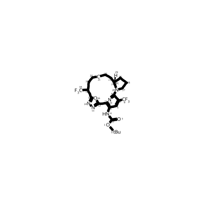 CC(C)(C)OC(=O)Nc1cc(C(F)(F)F)c2nc1-c1nnc(o1)C(C(F)(F)F)CCCCC[C@@H]1CCCN21